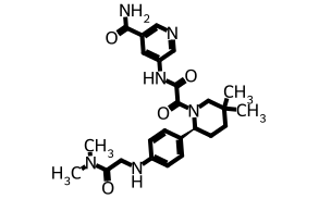 CN(C)C(=O)CNc1ccc([C@@H]2CCC(C)(C)CN2C(=O)C(=O)Nc2cncc(C(N)=O)c2)cc1